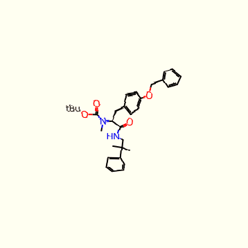 CN(C(=O)OC(C)(C)C)[C@@H](Cc1ccc(OCc2ccccc2)cc1)C(=O)NCC(C)(C)c1ccccc1